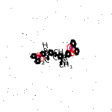 C=CCc1cc(C(C)(C)c2ccc(Bc3ccc(P4(=O)Oc5ccccc5-c5ccccc54)cc3)c(CC=C)c2)ccc1Bc1ccc(P2(=O)Oc3ccccc3-c3ccccc32)cc1